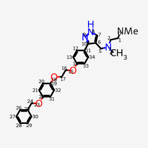 CNCCN(C)Cc1c[nH]nc1-c1ccc(OCCOc2ccc(OCc3ccccc3)cc2)cc1